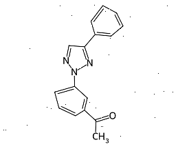 CC(=O)c1cccc(-n2ncc(-c3ccccc3)n2)c1